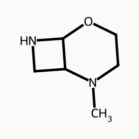 CN1CCOC2NCC21